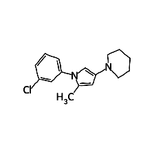 Cc1cc(N2CCCCC2)cn1-c1cccc(Cl)c1